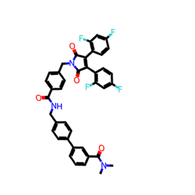 CN(C)C(=O)c1cccc(-c2ccc(CNC(=O)c3ccc(CN4C(=O)C(c5ccc(F)cc5F)=C(c5ccc(F)cc5F)C4=O)cc3)cc2)c1